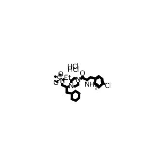 CCN(CC(CC1CCCCC1)N1CCN(C(=O)C(N)Cc2ccc(Cl)cc2)CC1)S(C)(=O)=O.Cl.Cl